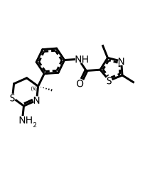 Cc1nc(C)c(C(=O)Nc2cccc([C@]3(C)CCSC(N)=N3)c2)s1